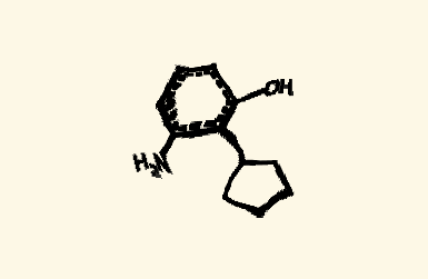 Nc1cccc(O)c1C1CCCC1